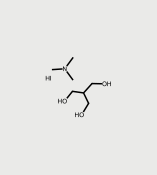 CN(C)C.I.OCC(CO)CO